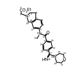 CCOC(=O)CN1CCc2ccc(N(C)C(=O)c3ccc(C(=N)N4CCOCC4)cc3)cc2C1